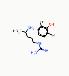 CC(C)c1cccc(C(C)C)c1O.N=C(N)NCCCC(N)C(=O)O